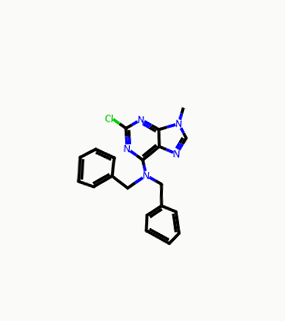 Cn1cnc2c(N(Cc3ccccc3)Cc3ccccc3)nc(Cl)nc21